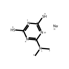 CN(C)c1nc(S)nc(S)n1.[Na]